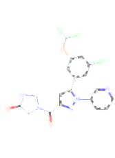 O=C1CN(C(=O)c2cc(-c3cc(Cl)cc(OC(F)F)c3)n(-c3cccnc3)n2)CN1